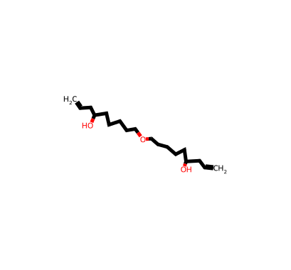 C=CCC(O)CCCCCOCCCCCC(O)CC=C